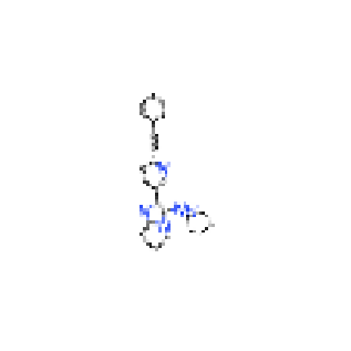 C(#Cc1ccc(-c2nc3ccccn3c2NC2CCCC2)cn1)c1ccccc1